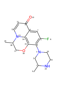 CC1CN(c2c(F)cc3c(=O)ccn4c3c2OCC4C)CCN1